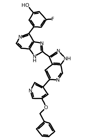 Oc1cc(F)cc(-c2nccc3[nH]c(-c4n[nH]c5cnc(-c6cncc(OCc7ccccc7)c6)cc45)nc23)c1